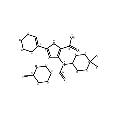 CC1(C)CCC(N(c2cc(C3=CCCCC3)sc2C(=O)O)C(=O)[C@H]2CC[C@H](C)CC2)CC1